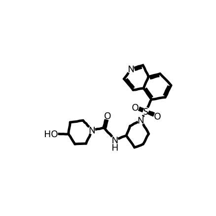 O=C(NC1CCCN(S(=O)(=O)c2cccc3cnccc23)C1)N1CCC(O)CC1